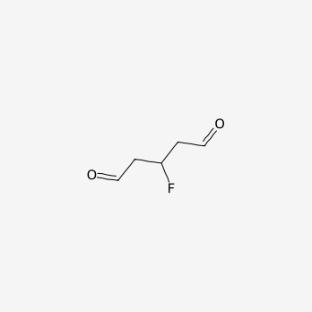 O=CCC(F)CC=O